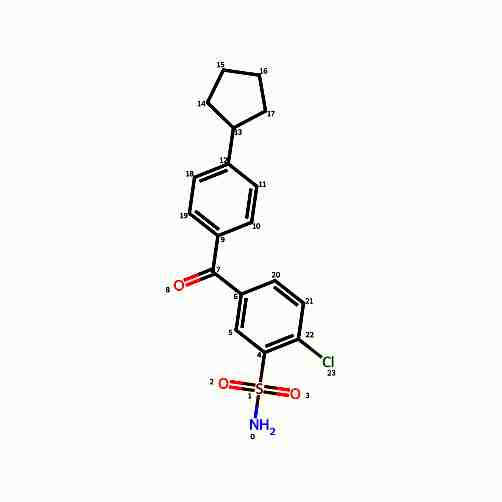 NS(=O)(=O)c1cc(C(=O)c2ccc(C3CCCC3)cc2)ccc1Cl